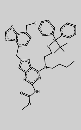 CCCCN(CCO[Si](c1ccccc1)(c1ccccc1)C(C)(C)C)c1nc(NC(=O)OC)nc2cn(Cc3ccc(CCl)c4scnc34)nc12